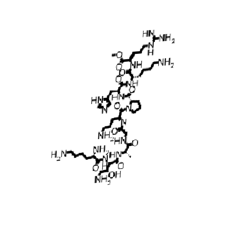 COC(=O)/C(=C/CCNC(=N)N)NC(=O)[C@H](CCCCN)NC(=O)[C@H](Cc1cnc[nH]1)NC(=O)[C@@H]1CCCN1C(=O)/C(CCCN)=N/C(=O)CNC(=O)[C@H](C)NC(=O)[C@@H](NC(=O)[C@@H](N)CCCCN)[C@@H](O)CN